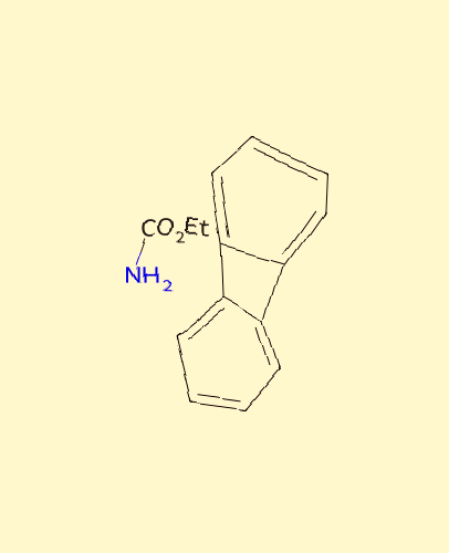 CCOC(N)=O.c1ccc2c(c1)-c1ccccc1-2